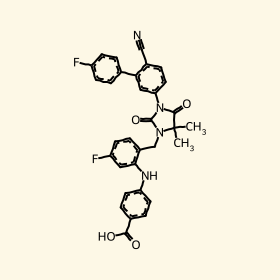 CC1(C)C(=O)N(c2ccc(C#N)c(-c3ccc(F)cc3)c2)C(=O)N1Cc1ccc(F)cc1Nc1ccc(C(=O)O)cc1